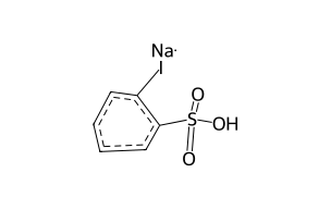 O=S(=O)(O)c1ccccc1I.[Na]